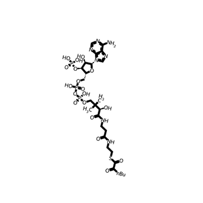 CCCCC(=O)C(=O)SCCNC(=O)CCNC(=O)[C@H](O)C(C)(C)COP(=O)(O)OP(=O)(O)OC[C@H]1O[C@@H](n2cnc3c(N)ncnc32)[C@H](O)[C@@H]1OP(=O)(O)O